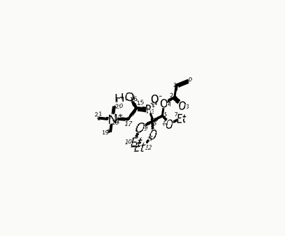 C=CC(=O)OC(OCC)C(OCC)(OCC)/[P+]([O-])=C(/O)C[N+](C)(C)C